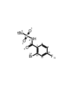 CC(C)(C)S(=O)(=O)NC(=O)c1ccc(F)cc1Br